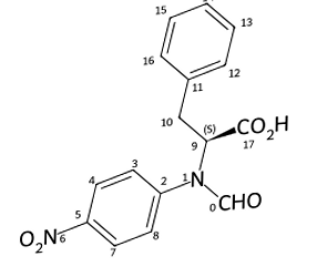 O=CN(c1ccc([N+](=O)[O-])cc1)[C@@H](Cc1ccccc1)C(=O)O